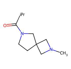 CC(C)C(=O)N1CCC2(CN(C)C2)C1